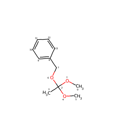 COC(C)(OC)OCc1ccccc1